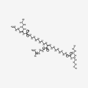 CCCCCC(CCCCC)CC(=O)OCCCCCCCCCC(CCCCCCCCCOC(=O)CC(CCCCC)CCCCC)C(=O)OCCCN(C)CC